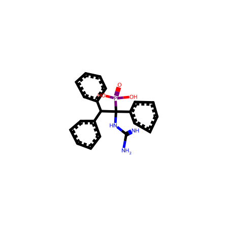 N=C(N)NC(c1ccccc1)(C(c1ccccc1)c1ccccc1)P(=O)(O)O